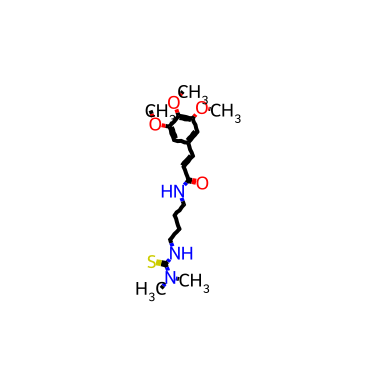 COc1cc(/C=C/C(=O)NCCCCNC(=S)N(C)C)cc(OC)c1OC